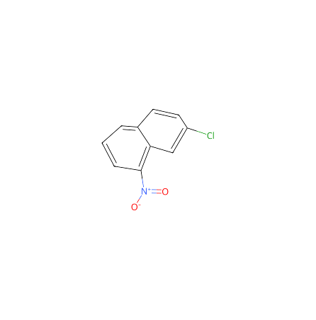 O=[N+]([O-])c1cccc2ccc(Cl)cc12